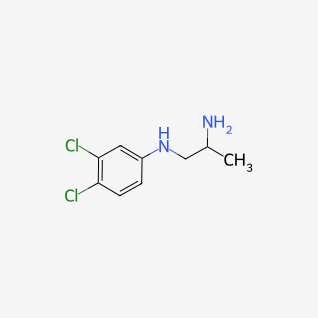 CC(N)CNc1ccc(Cl)c(Cl)c1